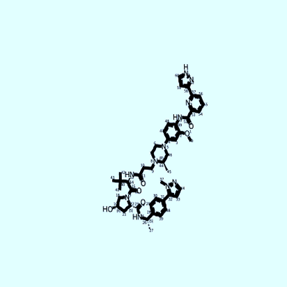 COc1cc(N2CCN(CCC(=O)N[C@H](C(=O)N3C[C@H](O)C[C@H]3C(=O)N[C@@H](C)c3ccc(-c4ccnn4C)cc3)C(C)(C)C)[C@H](C)C2)ccc1NC(=O)c1cccc(-c2cc[nH]n2)n1